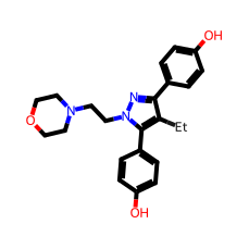 CCc1c(-c2ccc(O)cc2)nn(CCN2CCOCC2)c1-c1ccc(O)cc1